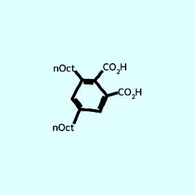 CCCCCCCCc1cc(CCCCCCCC)c(C(=O)O)c(C(=O)O)c1